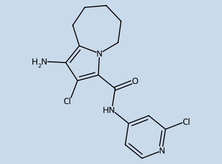 Nc1c(Cl)c(C(=O)Nc2ccnc(Cl)c2)n2c1CCCCC2